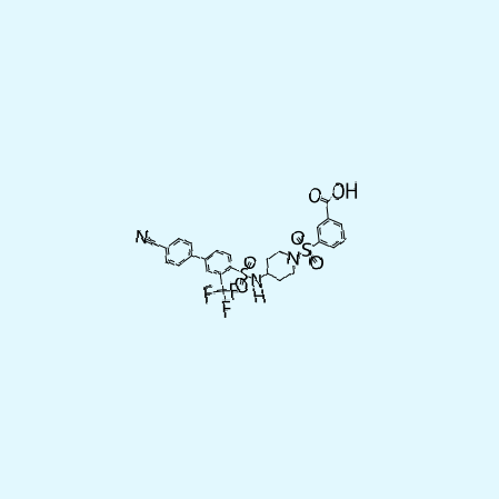 N#Cc1ccc(-c2ccc(S(=O)(=O)NC3CCN(S(=O)(=O)c4cccc(C(=O)O)c4)CC3)c(C(F)(F)F)c2)cc1